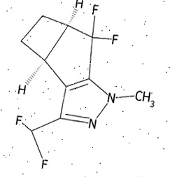 Cn1nc(C(F)F)c2c1C(F)(F)[C@@H]1CC[C@H]21